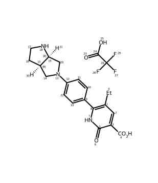 CCc1cc(C(=O)O)c(=O)[nH]c1-c1ccc(N2C[C@H]3CCN[C@H]3C2)cc1.O=C(O)C(F)(F)F